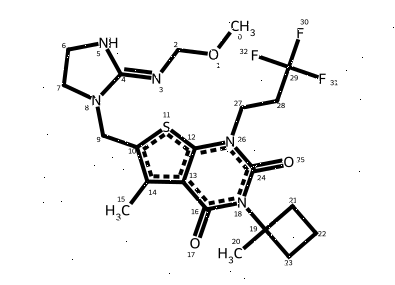 COC/N=C1\NCCN1Cc1sc2c(c1C)c(=O)n(C1(C)CCC1)c(=O)n2CCC(F)(F)F